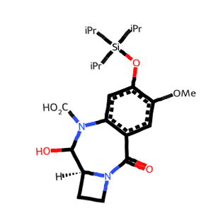 COc1cc2c(cc1O[Si](C(C)C)(C(C)C)C(C)C)N(C(=O)O)C(O)[C@@H]1CCN1C2=O